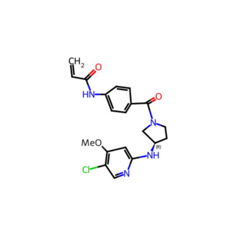 C=CC(=O)Nc1ccc(C(=O)N2CC[C@@H](Nc3cc(OC)c(Cl)cn3)C2)cc1